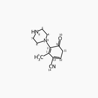 CC1=C(N2CCNCC2)C(=O)CC=C1C#N